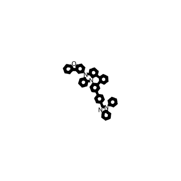 c1ccc(-n2c(-c3ccc(-c4ccc5c(c4)-c4ccccc4-c4cccc6c4N5c4ccccc4N6c4ccc5oc6ccccc6c5c4)cc3)nc3ccccc32)cc1